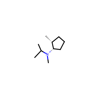 CC(C)N(C)[C@H]1CCC[C@H]1C